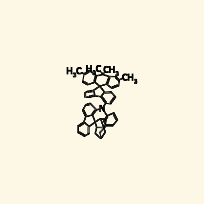 Cc1ccc2c(c1)C(C)(C)c1cc(C)ccc1C21c2ccccc2-c2c(N(c3ccccc3)c3cccc4c3C3(c5ccccc5-4)C4CC5CC(C4)C3C5)cccc21